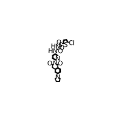 O=C(Nc1ccc(N2C(=O)Cc3cc(N4CCCC4)ccc3C2=O)nc1)NS(=O)(=O)c1ccc(Cl)s1